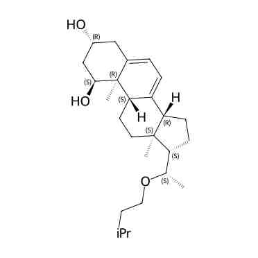 CC(C)CCO[C@@H](C)[C@H]1CC[C@H]2C3=CC=C4C[C@@H](O)C[C@H](O)[C@]4(C)[C@H]3CC[C@]12C